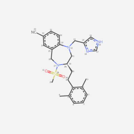 Cc1cccc(C)c1CC[C@@H]1CN(Cc2c[nH]cn2)c2ccc(C#N)cc2CN1S(C)(=O)=O